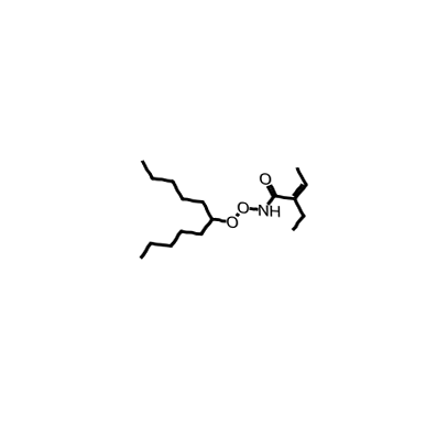 CC=C(CC)C(=O)NOOC(CCCCC)CCCCC